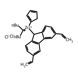 C=Cc1ccc2c(c1)-c1cc(C=C)ccc1[CH]2[Zr+2]([C]1=CC=CC1)=[C](CCCC)CCCC.[Cl-].[Cl-]